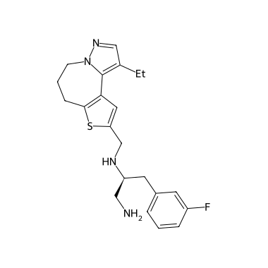 CCc1cnn2c1-c1cc(CN[C@H](CN)Cc3cccc(F)c3)sc1CCC2